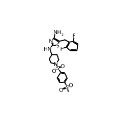 CS(=O)(=O)c1ccc(S(=O)(=O)N2CCC(Nc3nc(N)c(Cc4c(F)cccc4F)s3)CC2)cc1